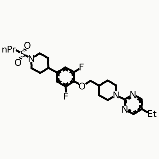 CCCS(=O)(=O)N1CCC(c2cc(F)c(OCC3CCN(c4ncc(CC)cn4)CC3)c(F)c2)CC1